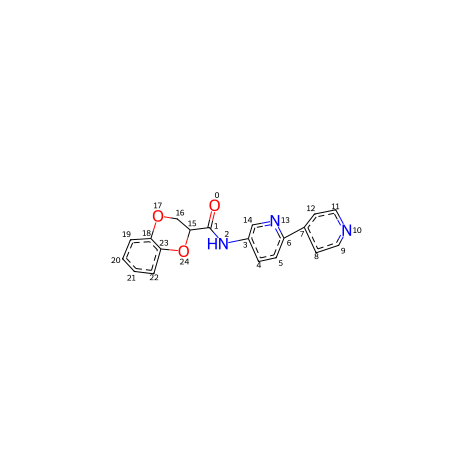 O=C(Nc1ccc(-c2ccncc2)nc1)C1COc2ccccc2O1